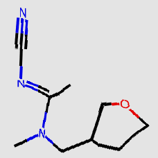 C/C(=N\C#N)N(C)CC1CCOC1